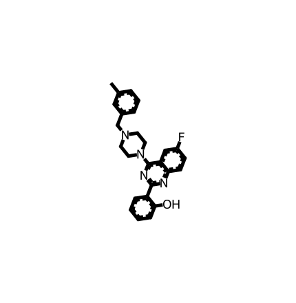 Cc1cccc(CN2CCN(c3nc(-c4ccccc4O)nc4ccc(F)cc34)CC2)c1